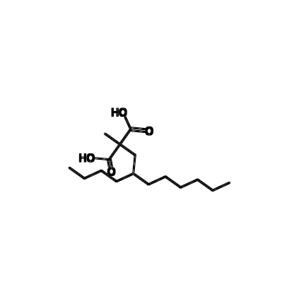 CCCCCCC(CCCC)CC(C)(C(=O)O)C(=O)O